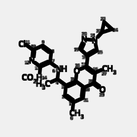 Cc1cc(C(C)Nc2ccc(Cl)nc2C(=O)O)c2oc(-c3cnn(C4CC4)c3)c(C)c(=O)c2c1